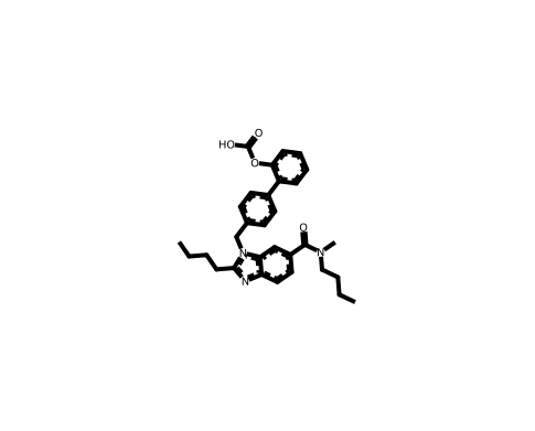 CCCCc1nc2ccc(C(=O)N(C)CCCC)cc2n1Cc1ccc(-c2ccccc2OC(=O)O)cc1